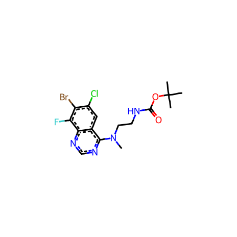 CN(CCNC(=O)OC(C)(C)C)c1ncnc2c(F)c(Br)c(Cl)cc12